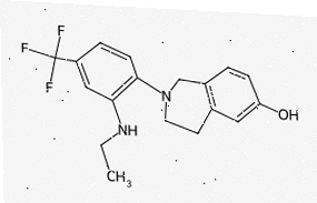 CCNc1cc(C(F)(F)F)ccc1N1CCc2cc(O)ccc2C1